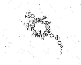 CCCCCOc1ccc(-c2cc(-c3ccc(C(=O)N[C@H]4C[C@@H](O)[C@@H](O)NC(=O)[C@@H]5[C@@H](O)[C@@H](C)CN5C(=O)[C@H]([C@H](O)CC(N)=O)NC(=O)[C@H]([C@H](O)[C@@H](O)c5ccc(O)c(O)c5)NC(=O)[C@@H]5C[C@@H](O)CN5C(=O)[C@H]([C@@H](C)O)NC4=O)cc3)no2)cc1